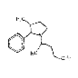 CCCC(O)N1CCC(C)C1c1ccccc1